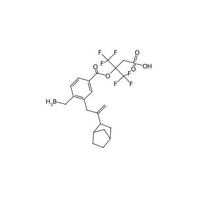 BCc1ccc(C(=O)OC(CS(=O)(=O)O)(C(F)(F)F)C(F)(F)F)cc1CC(=C)C1CC2CCC1C2